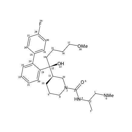 CNCC(C)NC(=O)N1CCC[C@@H]([C@@](O)(CCCCOC)c2ccccc2-c2ccc(F)cc2)C1